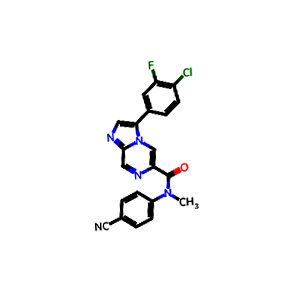 CN(C(=O)c1cn2c(-c3ccc(Cl)c(F)c3)cnc2cn1)c1ccc(C#N)cc1